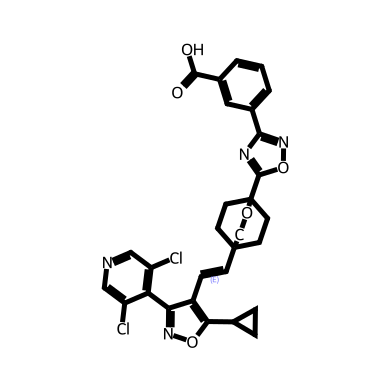 O=C(O)c1cccc(-c2noc(C34CCC(/C=C/c5c(-c6c(Cl)cncc6Cl)noc5C5CC5)(CC3)CO4)n2)c1